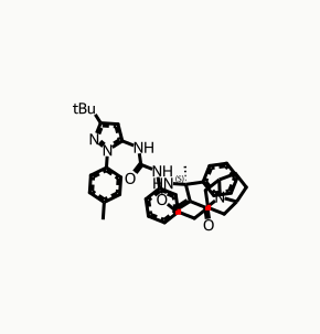 Cc1ccc(-n2nc(C(C)(C)C)cc2NC(=O)Nc2cccc(CC3CC4CCC(C3)N4C(=O)C3=CON[C@@]3(C)c3ccccc3)c2)cc1